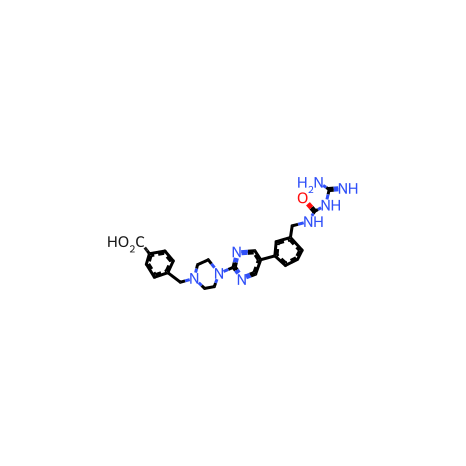 N=C(N)NC(=O)NCc1cccc(-c2cnc(N3CCN(Cc4ccc(C(=O)O)cc4)CC3)nc2)c1